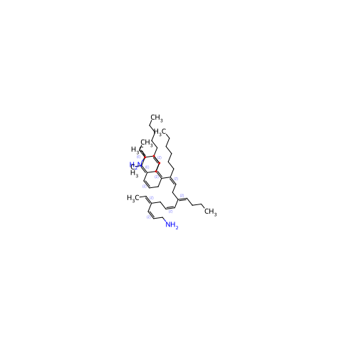 C/C=C(\C=C/CN)C/C=C\C(=C/CCC)C/C=C(CCCCCC)\C(=C/CCCCCCC)C/C=C\C(C/C=C\C(N)=C/C)=C(/C)CC